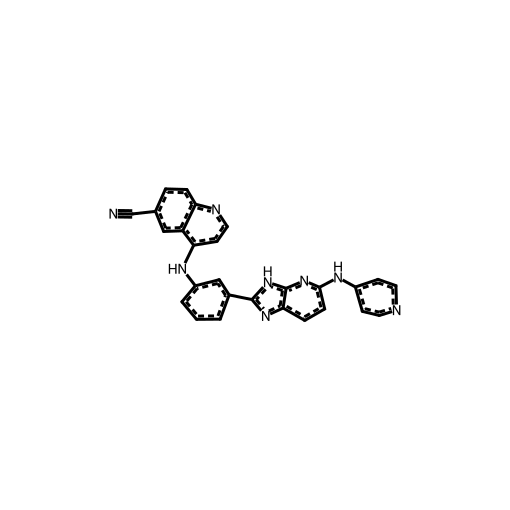 N#Cc1ccc2nccc(Nc3cccc(-c4nc5ccc(Nc6ccncc6)nc5[nH]4)c3)c2c1